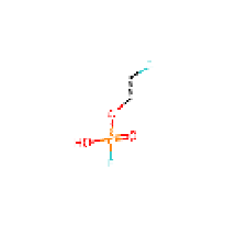 O=P(O)(F)OCCF